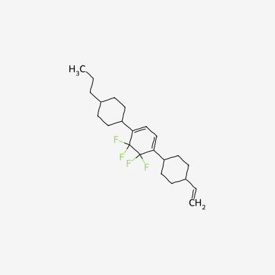 C=CC1CCC(C2=CC=C(C3CCC(CCC)CC3)C(F)(F)C2(F)F)CC1